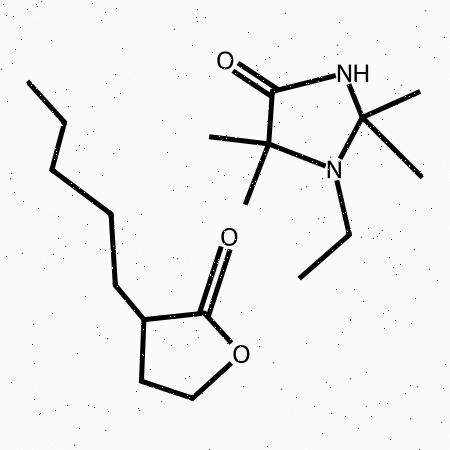 CCCCCC1CCOC1=O.CCN1C(C)(C)NC(=O)C1(C)C